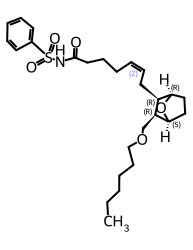 CCCCCCOC[C@H]1[C@@H](C/C=C\CCCC(=O)NS(=O)(=O)c2ccccc2)[C@H]2CC[C@@H]1O2